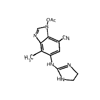 CC(=O)On1cnc2c(C)c(NC3=NCCN3)cc(C#N)c21